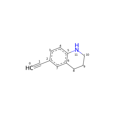 C#Cc1ccc2c(c1)CC[CH]N2